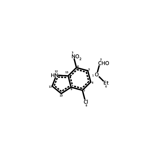 CCOC=O.O=[N+]([O-])c1ccc(Cl)c2cc[nH]c12